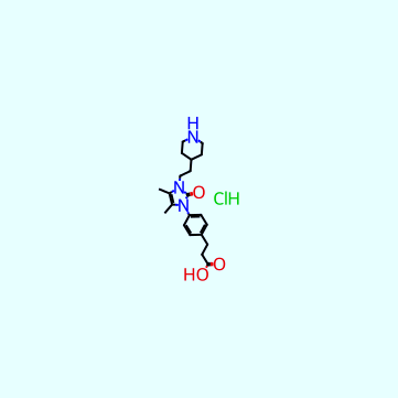 Cc1c(C)n(-c2ccc(CCC(=O)O)cc2)c(=O)n1CCC1CCNCC1.Cl